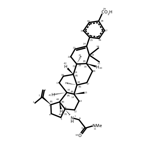 C=C(C)[C@@H]1CC[C@]2(NCC(=O)NC)CC[C@]3(C)[C@H](CC[C@@H]4[C@@]5(C)CC=C(c6ccc(C(=O)O)cc6)C(C)(C)[C@@H]5CC[C@]43C)[C@@H]12